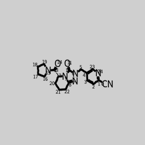 N#Cc1ccc(Cn2nc3n(c2=O)[C@@H](C(=O)N2CCCC2)CCC3)cn1